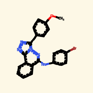 COc1ccc(-c2nnc3c4ccccc4c(Nc4ccc(Br)cc4)nn23)cc1